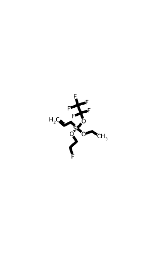 C=CC[Si](OCC)(OCCF)OC(F)(F)C(F)(F)F